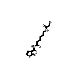 O=C(CS)NCCCCCC(=O)Nc1snc2sccc12